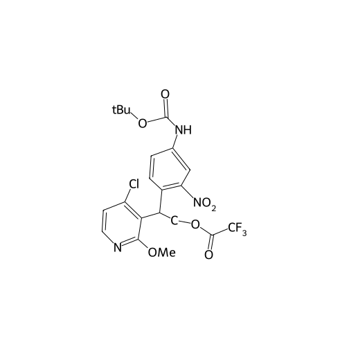 COc1nccc(Cl)c1C(COC(=O)C(F)(F)F)c1ccc(NC(=O)OC(C)(C)C)cc1[N+](=O)[O-]